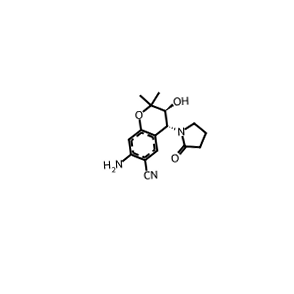 CC1(C)Oc2cc(N)c(C#N)cc2[C@@H](N2CCCC2=O)[C@@H]1O